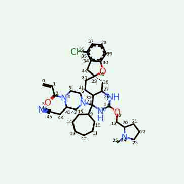 C=CC(=O)N1CCN(C2(C3CCCCCC3)NC(OCC3CCCN3C)NC3C[C@]4(CCC32)Cc2c(Cl)cccc2O4)CC1CC#N